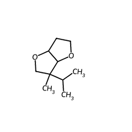 CC(C)C1(C)COC2CCOC21